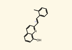 Cc1ccccc1/C=C/c1ccc2cccc(O)c2n1